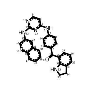 O=C(c1ccc(Nc2ccnc(Nc3cnc4ccccc4c3)n2)cc1)c1cccc2c1NCC2